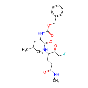 CNC(=O)CCC(NC(=O)[C@H](CC(C)C)NC(=O)OCc1ccccc1)C(=O)CF